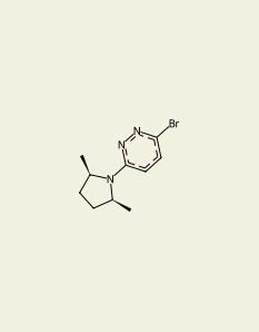 C[C@@H]1CC[C@H](C)N1c1ccc(Br)nn1